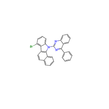 Brc1cccc2c1c1ccc3ccccc3c1n2-c1nc(-c2ccccc2)c2ccccc2n1